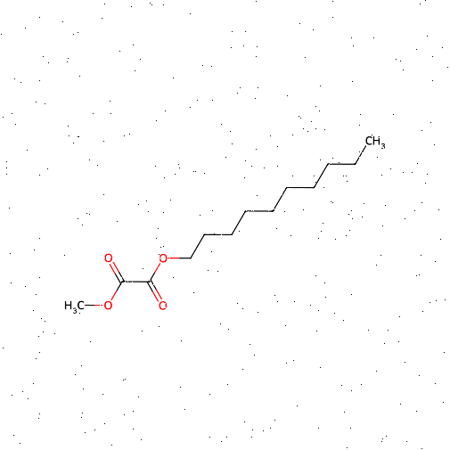 CCCCCCCCCCOC(=O)C(=O)OC